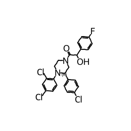 O=C(C(O)c1ccc(F)cc1)N1CCN(c2ccc(Cl)cc2Cl)[C@H](c2ccc(Cl)cc2)C1